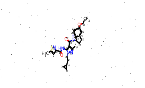 Cc1cc(C(=O)Nc2c3c(nn2CCC2CC2)C[C@]2(CCc4cc(OCC(F)(F)F)ccc42)NC3=O)ns1